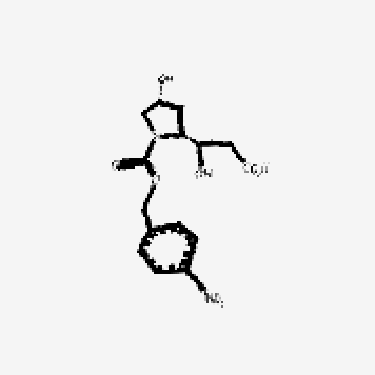 O=C(O)CC(O)[C@@H]1C[C@@H](O)CN1C(=O)OCc1ccc([N+](=O)[O-])cc1